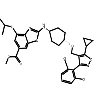 COC(=O)c1cc(OC(C)C)c2nc(N[C@H]3CC[C@@H](OCc4c(-c5c(Cl)cccc5Cl)noc4C4CC4)CC3)sc2c1